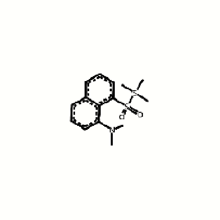 CN(C)c1cccc2cccc(S(=O)(=O)S(C)(C)C)c12